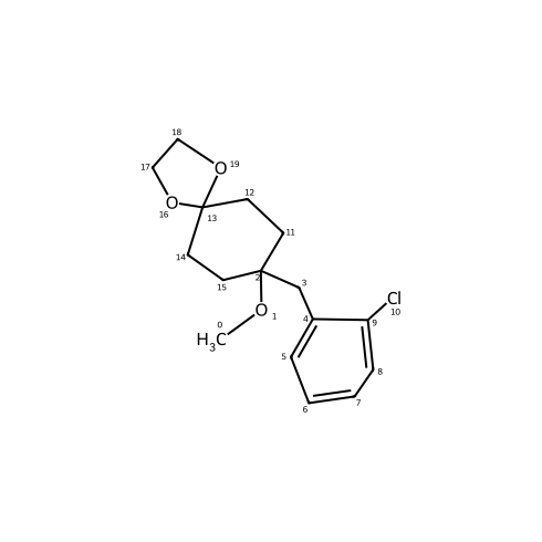 COC1(Cc2ccccc2Cl)CCC2(CC1)OCCO2